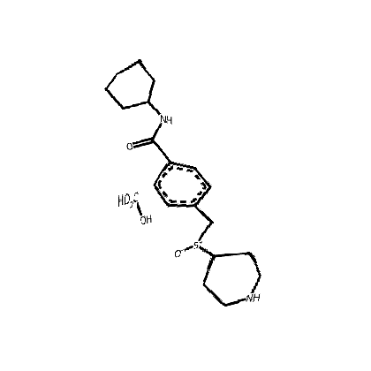 O=C(NC1CCCCC1)c1ccc(C[S+]([O-])C2CCNCC2)cc1.O=C(O)O